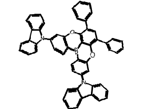 c1ccc(-c2cc(-c3ccccc3)c3c4c2Oc2cc(-n5c6ccccc6c6ccccc65)ccc2B4c2ccc(-n4c5ccccc5c5ccccc54)cc2O3)cc1